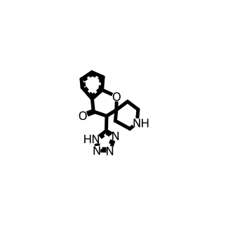 O=C1c2ccccc2OC2(CCNCC2)C1c1nnn[nH]1